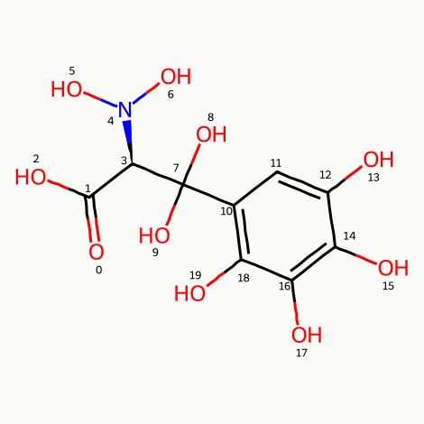 O=C(O)[C@@H](N(O)O)C(O)(O)c1cc(O)c(O)c(O)c1O